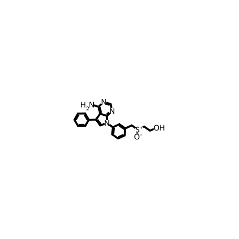 Nc1ncnc2c1c(-c1ccccc1)cn2-c1cccc(C[S+]([O-])CCO)c1